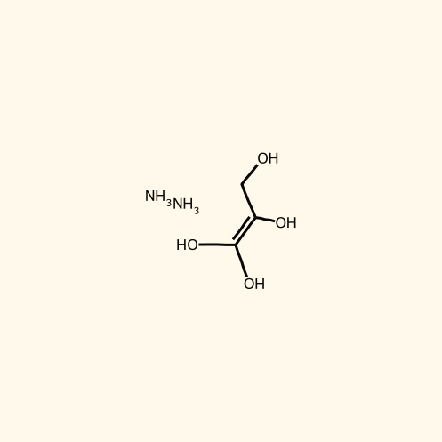 N.N.OCC(O)=C(O)O